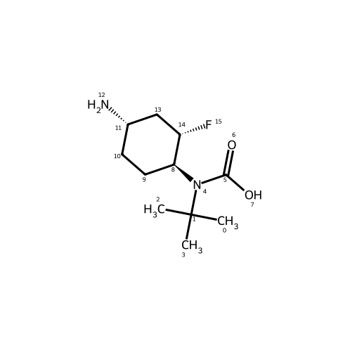 CC(C)(C)N(C(=O)O)[C@H]1CC[C@H](N)C[C@@H]1F